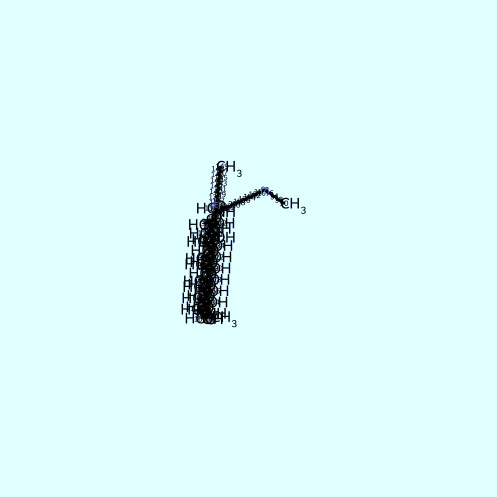 CCCCCCCC/C=C\CCCCCCCCCCCCCCCC(=O)N[C@@H](CO[C@@H]1OC(CO)[C@@H](O[C@@H]2OC(CO)[C@H](O[C@@H]3OC(CO)[C@H](O)[C@H](O[C@H]4OC(CO)[C@H](O)[C@H](O[C@H]5OC(CO)[C@H](O)[C@H](O[C@H]6OC(CO)[C@H](O)[C@H](O[C@H]7OC(CO)[C@H](O)[C@H](O[C@H]8OC(CO)[C@H](O)[C@H](O[C@@H]9OC(CO)[C@H](O)[C@H](O)C9NC(C)=O)C8O)C7O)C6O)C5O)C4O)C3O)[C@H](O)C2O)[C@H](O)C1O)[C@H](O)/C=C/CCCCCCCCCCCCC